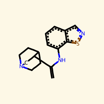 C=C(Nc1cccc2cnsc12)C1CN2CCC1CC2